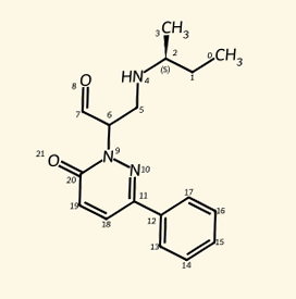 CC[C@H](C)NCC(C=O)n1nc(-c2ccccc2)ccc1=O